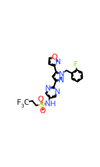 O=S(=O)(CCC(F)(F)F)Nc1cnc(-c2cc(-c3ccon3)n(Cc3ccccc3F)n2)nc1